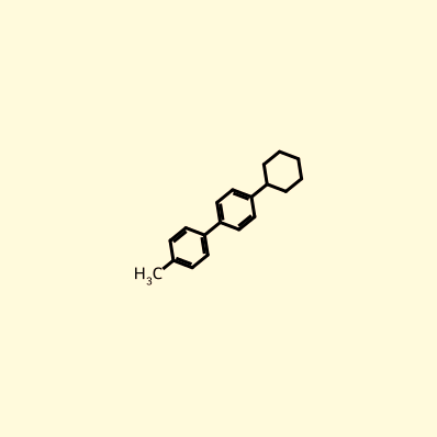 Cc1ccc(-c2ccc(C3CCCCC3)cc2)cc1